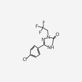 O=C1CNC(c2ccc(Cl)cc2)=NN1CC(F)(F)F